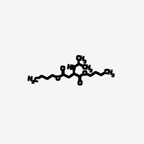 CCCCOC(=O)CC(NC(C)C)C(=O)OCCCC